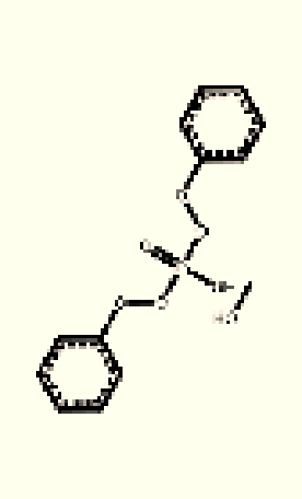 CO.O=P(O)(OOc1ccccc1)OOc1ccccc1